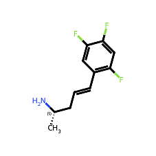 C[C@H](N)CC=Cc1cc(F)c(F)cc1F